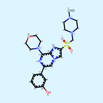 O=CN1CCN(CS(=O)(=O)c2cn3cc(-c4cccc(O)c4)nc(N4CCOCC4)c3n2)CC1